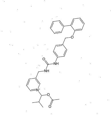 CC(=O)OC(C(C)C)[n+]1cccc(CNC(=O)Nc2ccc(COc3ccccc3-c3ccccc3)cc2)c1